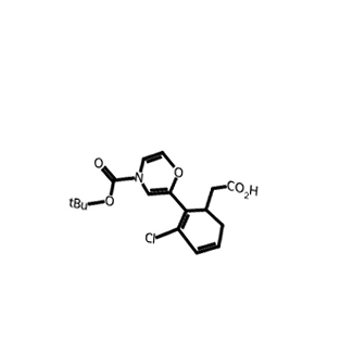 CC(C)(C)OC(=O)N1C=COC(C2=C(Cl)C=CCC2CC(=O)O)=C1